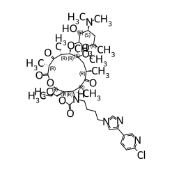 CC[C@H]1OC(=O)[C@H](C)C(=O)[C@H](C)[C@@H](OC2O[C@H](C)C[C@H](N(C)C)[C@H]2O)[C@@](C)(OC)C[C@@H](C)C(=O)[C@H](C)[C@H]2N(CCCCn3cnc(-c4ccc(Cl)nc4)c3)C(=O)O[C@]12CC